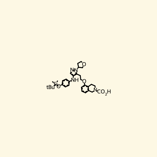 CC(C)(C)[Si](C)(C)Oc1ccc(Nc2cnn(C3CCOC3)c2CCOc2cccc3c2CCN(C(=O)O)C3)cc1